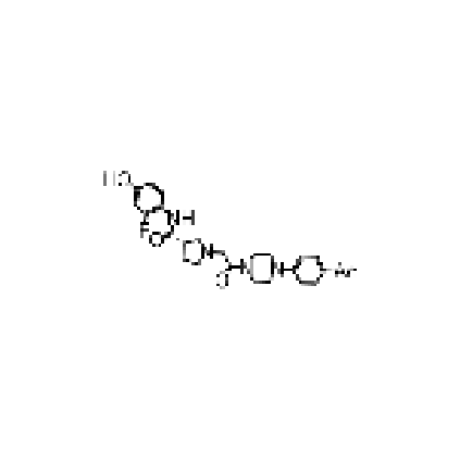 CC(=O)c1ccc(N2CCN(C(=O)CN3CC[C@H](C(=O)Nc4ccc(O)cc4F)C3)CC2)cc1